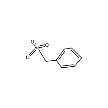 [O]=[Re](=[O])(=[O])[CH2]c1ccccc1